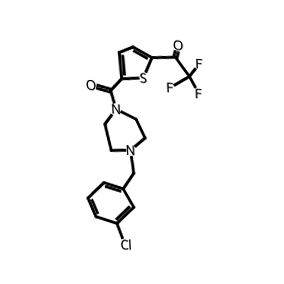 O=C(c1ccc(C(=O)C(F)(F)F)s1)N1CCN(Cc2cccc(Cl)c2)CC1